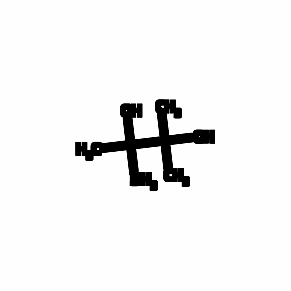 CC(C)(O)C(C)(O)[SiH3]